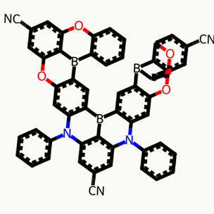 N#Cc1cc2c3c(c1)Oc1cc4c(cc1B3c1ccccc1O2)B1c2cc3c(cc2N(c2ccccc2)c2cc(C#N)cc(c21)N4c1ccccc1)Oc1cc(C#N)cc2c1B3c1ccccc1O2